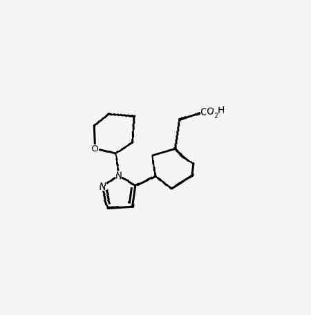 O=C(O)CC1CCCC(c2ccnn2C2CCCCO2)C1